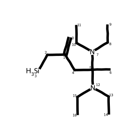 C=C(C[SiH3])CC(C)(N(CC)CC)N(CC)CC